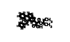 CCC(C)OC(=O)C(C(=O)O)c1cc(NCc2ccccn2)c2c(-c3ccccc3)csc2n1